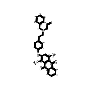 C=CCN(CCc1ccc(Oc2cc(O)c3c(c2N)C(=O)c2ccccc2C3=O)cc1)Cc1ccccc1